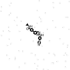 CN1CCN(c2ccc(Nc3ncc4cc(-c5ccc(C(=O)NC6CC6)cc5)ccc4n3)cc2)CC1